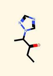 CCC(=O)C(C)n1cncn1